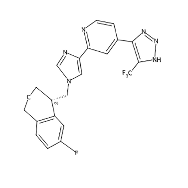 Fc1ccc2c(c1)[C@@H](Cn1cnc(-c3cc(-c4nn[nH]c4C(F)(F)F)ccn3)c1)CCC2